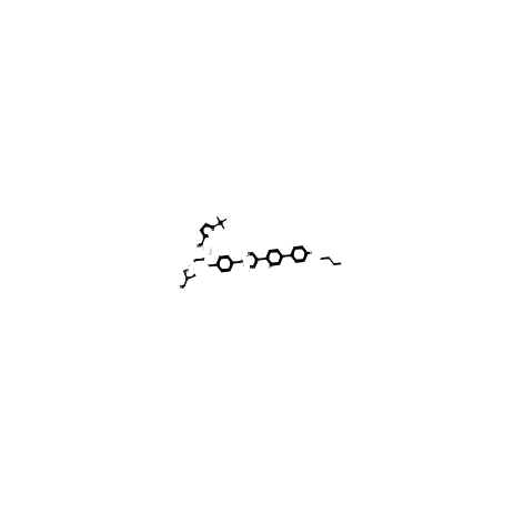 CCCCOc1ccc(-c2ccc(-c3cnc(-c4ccc(C[C@H](NC(=O)c5ccc(C(C)(C)C)s5)C(=O)N5CC(C(=O)O)C5)cc4)nc3)c(F)c2)cc1